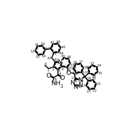 CCc1c(C(=O)C(N)=O)c2c(OCc3nnnn3C(c3ccccc3)(c3ccccc3)c3ccccc3)cccn2c1Cc1ccccc1-c1ccccc1